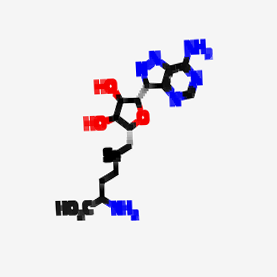 Nc1ncnc2c1N=NC2[C@@H]1O[C@H](C[Se]CCC(N)C(=O)O)[C@@H](O)[C@H]1O